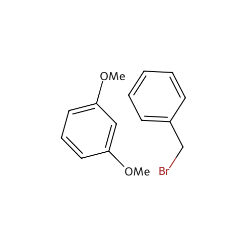 BrCc1ccccc1.COc1cccc(OC)c1